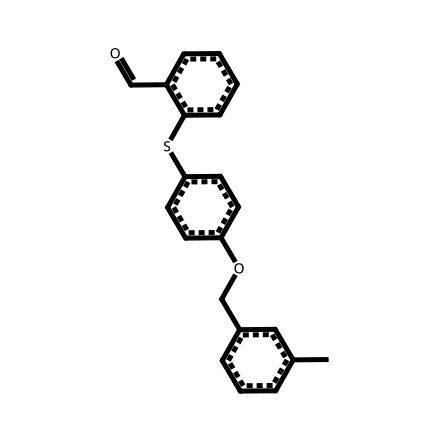 Cc1cccc(COc2ccc(Sc3ccccc3C=O)cc2)c1